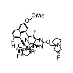 COCOc1cc(-c2nc(N3CC[C@H](F)[C@@H]3C)c3cnc(OC[C@@]45CCCN4C[C@H](F)C5)nc3c2F)c2c(C#C[Si](C(C)C)(C(C)C)C(C)C)c(F)ccc2c1